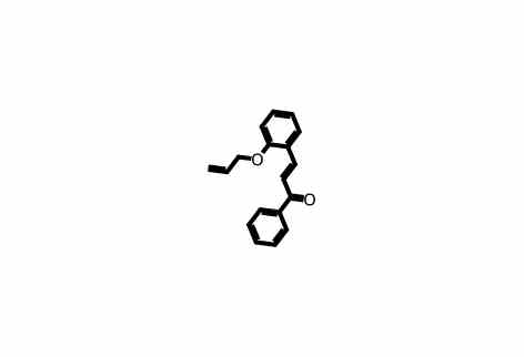 C=CCOc1ccccc1C=CC(=O)c1ccccc1